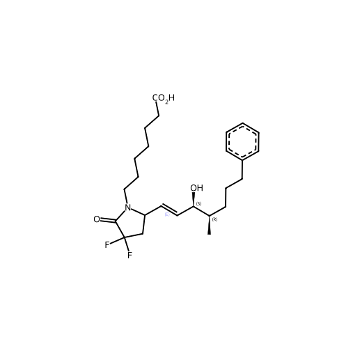 C[C@H](CCCc1ccccc1)[C@H](O)/C=C/C1CC(F)(F)C(=O)N1CCCCCCC(=O)O